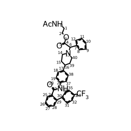 CC(=O)NCCOC(=O)C(c1ccccc1)N1CCC(c2ccc(NC(=O)c3ccccc3-c3ccc(C(F)(F)F)cc3)cc2)CC1